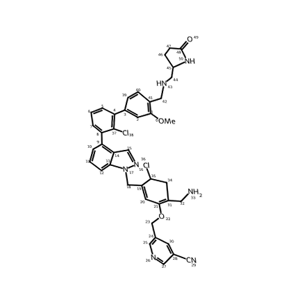 COc1cc(-c2cccc(-c3cccc4c3cnn4CC3=CC(OCc4cncc(C#N)c4)=C(CN)CC3Cl)c2Cl)ccc1CNCC1CCC(=O)N1